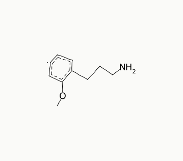 COc1c[c]ccc1CCCN